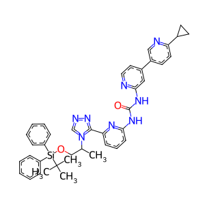 CC(CO[Si](c1ccccc1)(c1ccccc1)C(C)(C)C)n1cnnc1-c1cccc(NC(=O)Nc2cc(-c3ccc(C4CC4)nc3)ccn2)n1